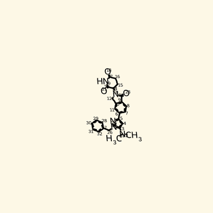 CN(C)c1cc(-c2ccc3c(c2)CN(C2CCC(=O)NC2=O)C3=O)nn1Cc1ccccc1